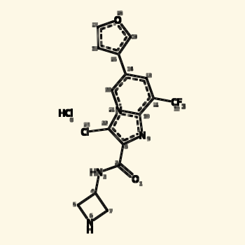 Cl.O=C(NC1CNC1)c1nc2c(C(F)(F)F)cc(-c3ccoc3)cn2c1Cl